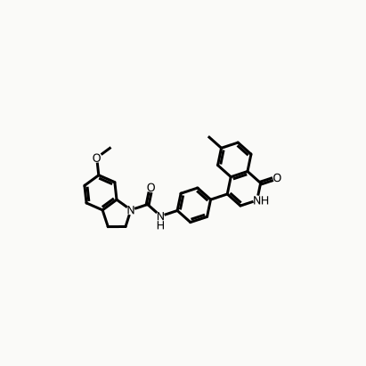 COc1ccc2c(c1)N(C(=O)Nc1ccc(-c3c[nH]c(=O)c4ccc(C)cc34)cc1)CC2